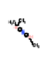 CCCCCCBc1ccc(N=Nc2ccc(BC(CCC)CCCC)cc2)cc1